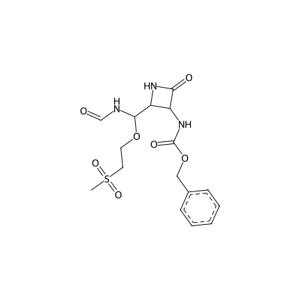 CS(=O)(=O)CCOC(NC=O)C1NC(=O)C1NC(=O)OCc1ccccc1